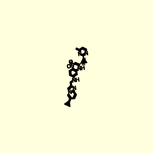 Cc1ccnc([C@H]2C[C@@H]2C2=CS(=O)(=O)c3ccc(NCc4cn5cc(C6CC6)ccc5n4)cc3N2)n1